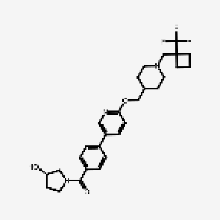 O=C(c1ccc(-c2ccc(OCC3CCN(CC4(C(F)(F)F)CCC4)CC3)nc2)cc1)N1CC[C@@H](O)C1